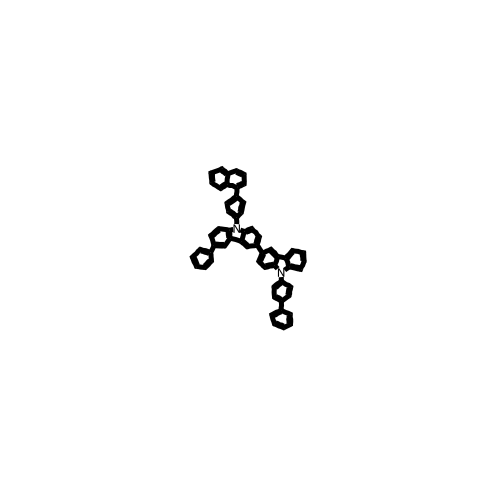 c1ccc(-c2ccc(-n3c4ccccc4c4cc(-c5ccc6c(c5)c5cc(-c7ccccc7)ccc5n6-c5ccc(-c6cccc7ccccc67)cc5)ccc43)cc2)cc1